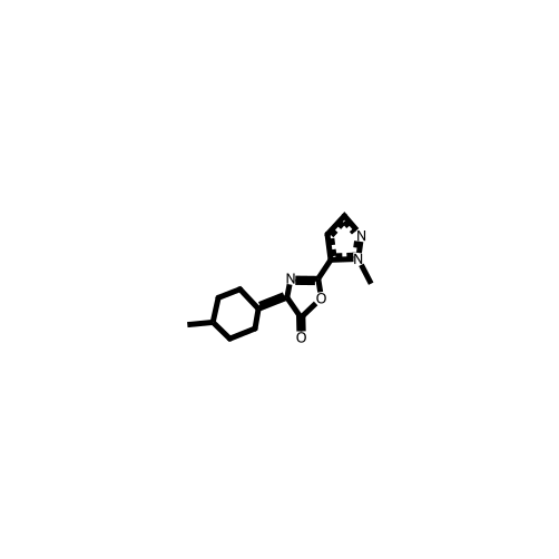 CC1CCC(=C2N=C(c3ccnn3C)OC2=O)CC1